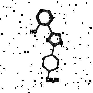 CCOC(=O)C1CCC(c2nc(-c3ccccc3O)cs2)CC1